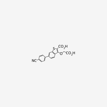 N#Cc1ccc(-c2ccc3c(OCC(=O)O)c(C(=O)O)sc3c2)cc1